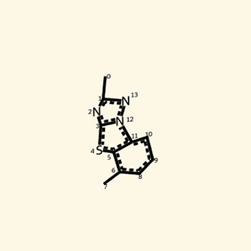 Cc1nc2sc3c(C)cccc3n2n1